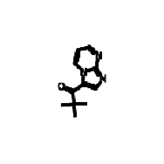 CC(C)(C)C(=O)c1cnc2ncccn12